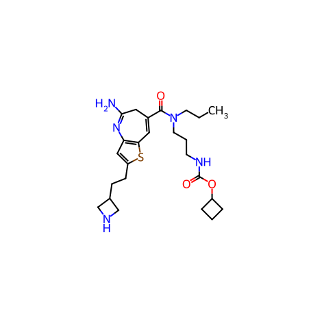 CCCN(CCCNC(=O)OC1CCC1)C(=O)C1=Cc2sc(CCC3CNC3)cc2N=C(N)C1